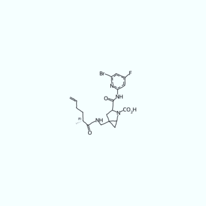 C=CCC[C@@H](C)C(=O)NCC12CC(C(=O)Nc3cc(F)cc(Br)n3)N(C(=O)O)C1C2